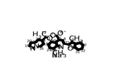 Cc1c(-c2cc(C(=O)[O-])c3c(OC(C)c4ccn5nccc5c4)ccc(C)c3n2)oc2ccccc12.[Na+]